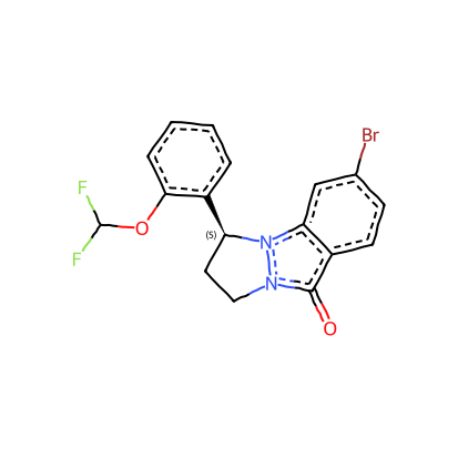 O=c1c2ccc(Br)cc2n2n1CC[C@H]2c1ccccc1OC(F)F